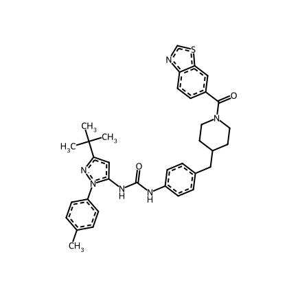 Cc1ccc(-n2nc(C(C)(C)C)cc2NC(=O)Nc2ccc(CC3CCN(C(=O)c4ccc5ncsc5c4)CC3)cc2)cc1